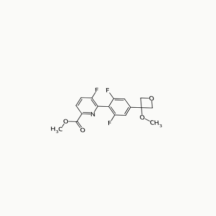 COC(=O)c1ccc(F)c(-c2c(F)cc(C3(OC)COC3)cc2F)n1